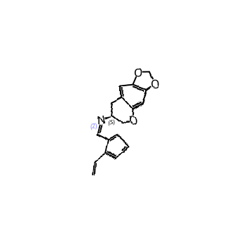 C=Cc1ccccc1/C=N\[C@@H]1COc2cc3c(cc2C1)OCO3